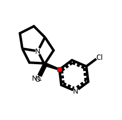 N#CC1(c2cncc(Cl)c2)CC2CCC(C1)N2C(=O)F